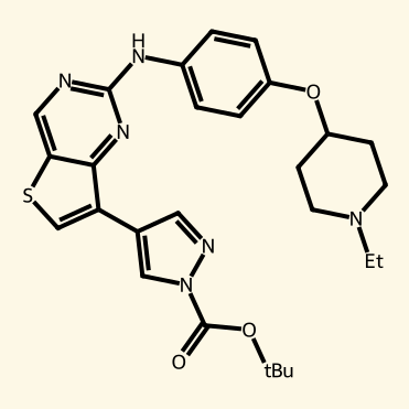 CCN1CCC(Oc2ccc(Nc3ncc4scc(-c5cnn(C(=O)OC(C)(C)C)c5)c4n3)cc2)CC1